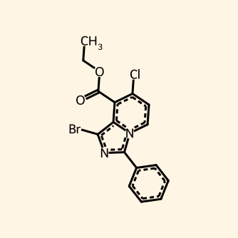 CCOC(=O)c1c(Cl)ccn2c(-c3ccccc3)nc(Br)c12